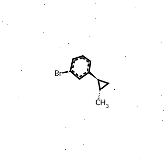 C[C@H]1C[C@@H]1c1cccc(Br)c1